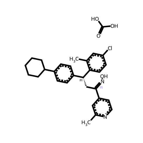 Cc1cc(/C(C[C@H](c2ccc(C3CCCCC3)cc2)c2ccc(Cl)cc2C)=N/O)ccn1.O=C(O)O